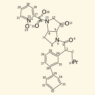 CC(C)CC(C(=O)N1CCC2C1C(=O)CN2S(=O)(=O)c1cccc[n+]1[O-])c1cccc(-c2ccccc2)c1